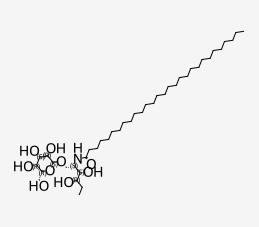 CCCCCCCCCCCCCCCCCCCCCCCCCCCCC(=O)N[C@@H](CO[C@H]1O[C@H](CO)[C@H](O)[C@H](O)[C@H]1O)[C@H](O)[C@H](O)CC